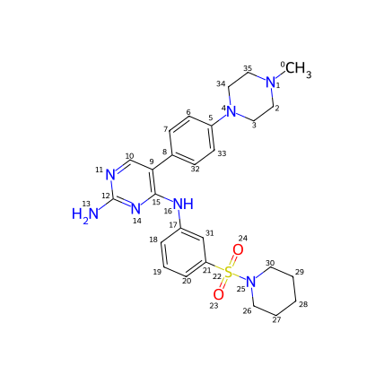 CN1CCN(c2ccc(-c3cnc(N)nc3Nc3cccc(S(=O)(=O)N4CCCCC4)c3)cc2)CC1